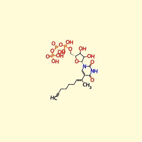 C#CCCCC/C=C(\C)c1cn([C@@H]2O[C@H](COP(=O)(O)OP(=O)(O)OP(=O)(O)O)C(O)C2O)c(=O)[nH]c1=O